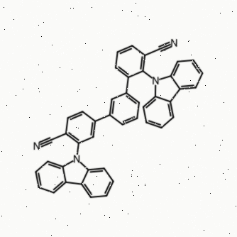 N#Cc1ccc(-c2cccc(-c3cccc(C#N)c3-n3c4ccccc4c4ccccc43)c2)cc1-n1c2ccccc2c2ccccc21